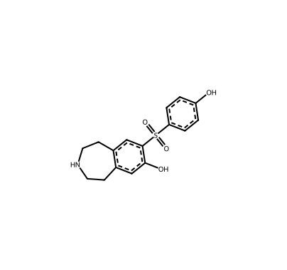 O=S(=O)(c1ccc(O)cc1)c1cc2c(cc1O)CCNCC2